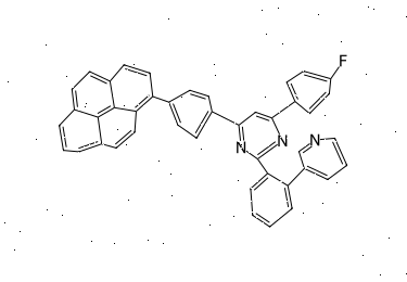 Fc1ccc(-c2cc(-c3ccc(-c4ccc5ccc6cccc7ccc4c5c67)cc3)nc(-c3ccccc3-c3cccnc3)n2)cc1